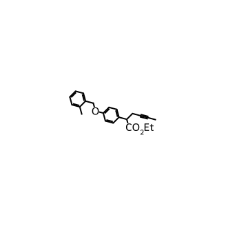 CC#CCC(C(=O)OCC)c1ccc(OCc2ccccc2C)cc1